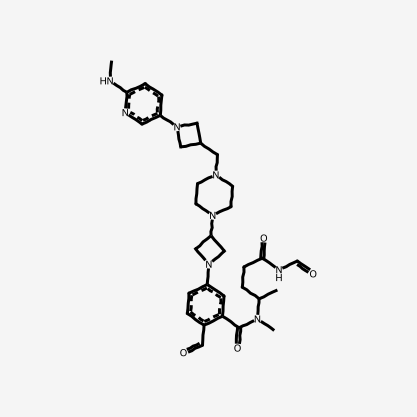 CNc1ccc(N2CC(CN3CCN(C4CN(c5ccc(C=O)c(C(=O)N(C)C(C)CCC(=O)NC=O)c5)C4)CC3)C2)cn1